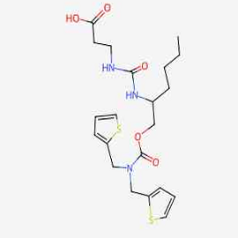 CCCCC(COC(=O)N(Cc1cccs1)Cc1cccs1)NC(=O)NCCC(=O)O